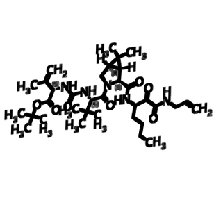 C=CCNC(=O)C(=O)C(CCCC)NC(=O)[C@@H]1[C@@H]2[C@H](CN1C(=O)[C@@H](NC(=O)N[C@@H](C(=C)C)C(=O)OC(C)(C)C)C(C)(C)C)C2(C)C